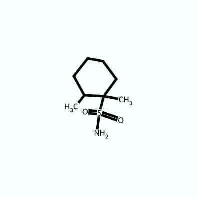 CC1CCCCC1(C)S(N)(=O)=O